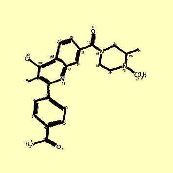 Cc1c(-c2ccc(C(N)=O)cc2)nc2cc(C(=O)N3CCN(C(=O)O)C(C)C3)ccc2c1Cl